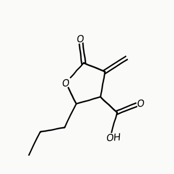 C=C1C(=O)OC(CCC)C1C(=O)O